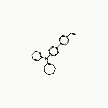 C=Cc1ccc(-c2ccc(N(C3=CCCC=C3)C3=CCCCCC3)cc2)cc1